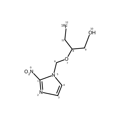 O=[N+]([O-])c1nccn1COC(CO)C[18F]